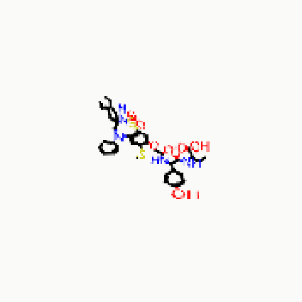 CCCCC1(CCCC)CN(c2ccccc2)c2cc(SC)c(OCC(=O)NC(C(=O)NC(CC)C(=O)O)c3ccc(O)cc3)cc2S(=O)(=O)N1